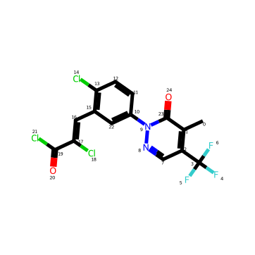 Cc1c(C(F)(F)F)cnn(-c2ccc(Cl)c(C=C(Cl)C(=O)Cl)c2)c1=O